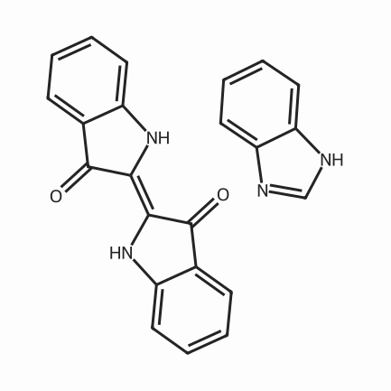 O=C1C(=C2Nc3ccccc3C2=O)Nc2ccccc21.c1ccc2[nH]cnc2c1